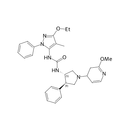 CCOc1nn(-c2ccccc2)c(NC(=O)N[C@@H]2CN(C3C=CN=C(OC)C3)C[C@H]2c2ccccc2)c1C